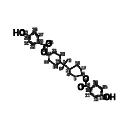 CC(C)(C1CCC(OC(=O)c2ccc(O)cc2)CC1)C1CCC(OC(=O)c2ccc(O)cc2)CC1